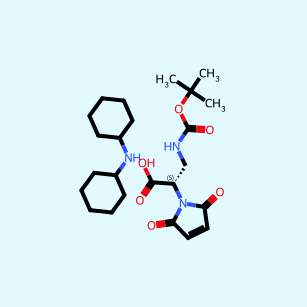 C1CCC(NC2CCCCC2)CC1.CC(C)(C)OC(=O)NC[C@@H](C(=O)O)N1C(=O)C=CC1=O